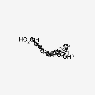 Cc1c(O)cc(O)c(C(=O)N2Cc3ccc(CN4CCN(CCOCCOCCOCCNC(=O)O)CC4)cc3C2)c1OCc1ccccc1